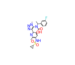 Cc1nc(-c2nnn(C)c2N(C(=O)O)C(C)c2cccc(F)c2)ccc1NS(=O)(=O)C1CC1